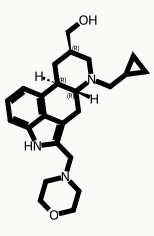 OC[C@@H]1C[C@@H]2c3cccc4[nH]c(CN5CCOCC5)c(c34)C[C@H]2N(CC2CC2)C1